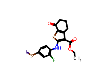 CCOC(=O)c1c(Nc2ccc(SI)cc2F)sc2c1CCCC2=O